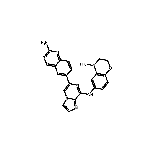 CN1CCOc2ccc(Nc3nc(-c4ccc5nc(N)ncc5c4)cn4ccnc34)cc21